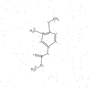 CCc1ccc(CC(=O)OC)cc1C